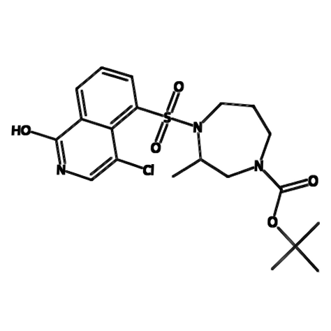 CC1CN(C(=O)OC(C)(C)C)CCCN1S(=O)(=O)c1cccc2c(O)ncc(Cl)c12